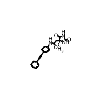 CC1(CC(=O)Nc2ccc(C#Cc3ccccc3)cc2)NC(=O)NC1=O